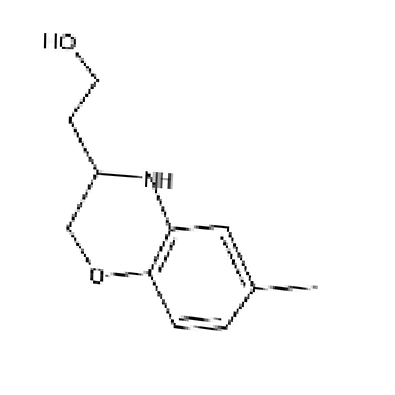 Cc1ccc2c(c1)NC(CCO)CO2